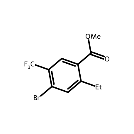 CCc1cc(Br)c(C(F)(F)F)cc1C(=O)OC